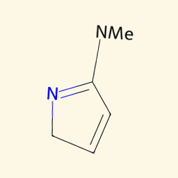 CNC1=NCC=C1